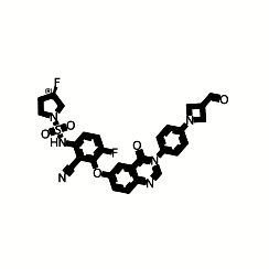 N#Cc1c(NS(=O)(=O)N2CC[C@@H](F)C2)ccc(F)c1Oc1ccc2ncn(-c3ccc(N4CC(C=O)C4)cc3)c(=O)c2c1